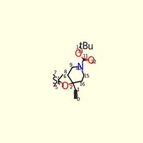 C#CC1(O[Si](C)(C)C)CCN(C(=O)OC(C)(C)C)CC1